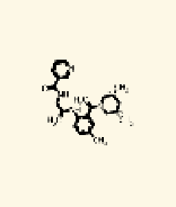 C=C(CNC(=O)c1cccnc1)Nc1ccc(C)cc1C(=C)N1C[C@H](C)C[C@H](C)C1